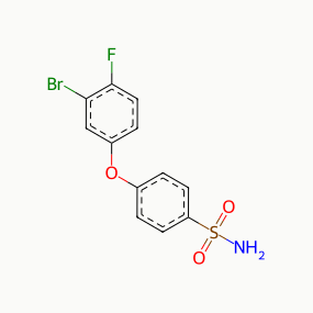 NS(=O)(=O)c1ccc(Oc2ccc(F)c(Br)c2)cc1